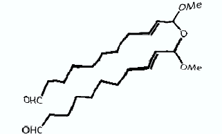 COC(C=CCCCCCCCC=O)OC(C=CCCCCCCCC=O)OC